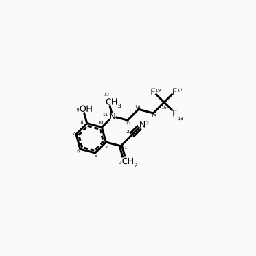 C=C(C#N)c1cccc(O)c1N(C)CCCC(F)(F)F